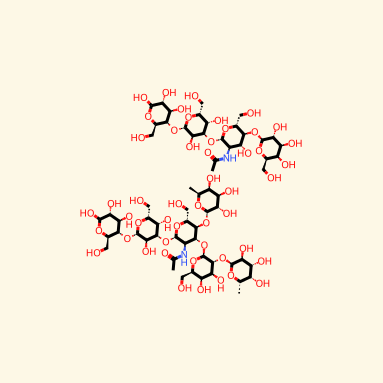 CC(=O)N[C@H]1[C@H](O[C@H]2[C@@H](O)[C@@H](CO)O[C@@H](O[C@H]3[C@H](O)[C@@H](O)C(O)O[C@@H]3CO)[C@@H]2O)O[C@H](CO)[C@@H](O[C@@H]2O[C@@H](C)[C@@H](O)[C@@H](O)[C@@H]2O)[C@@H]1O[C@@H]1O[C@H](CO)[C@H](O)[C@H](O)[C@H]1O[C@@H]1O[C@@H](C)[C@@H](O)[C@@H](O)[C@@H]1O.CC(=O)N[C@H]1[C@H](O[C@H]2[C@@H](O)[C@@H](CO)O[C@@H](O[C@H]3[C@H](O)[C@@H](O)C(O)O[C@@H]3CO)[C@@H]2O)O[C@H](CO)[C@@H](O[C@@H]2O[C@H](CO)[C@H](O)[C@H](O)[C@H]2O)[C@@H]1O